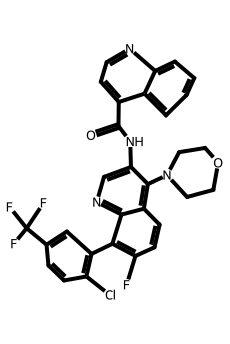 O=C(Nc1cnc2c(-c3cc(C(F)(F)F)ccc3Cl)c(F)ccc2c1N1CCOCC1)c1ccnc2ccccc12